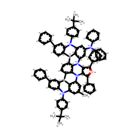 Cc1cc2c3c(c1)N1c4c(ccc5c4N(c4cc(N(c6ccccc6)c6ccccc6)cc6c4B5c4ccc(-c5ccccc5)cc4N6c4ccc(C(C)(C)C)cc4)c4c(-c5ccccc5)oc(-c5ccccc5)c41)B3c1cc(-c3ccccc3)ccc1N2c1ccc(C(C)(C)C)cc1